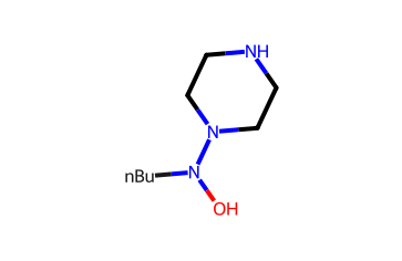 CCCCN(O)N1CCNCC1